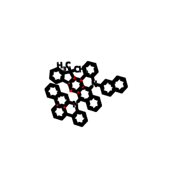 CC1(C)c2ccccc2-c2cc3c(N(c4ccc5ccccc5c4)c4ccccc4-c4ccccc4)c4ccccc4c(N(c4ccc5ccccc5c4)c4ccccc4-c4ccccc4)c3cc21